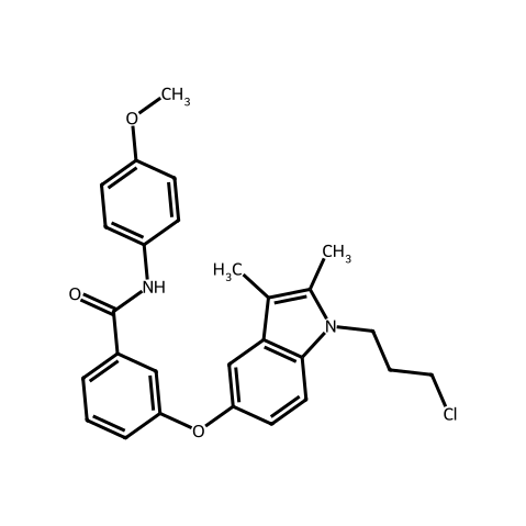 COc1ccc(NC(=O)c2cccc(Oc3ccc4c(c3)c(C)c(C)n4CCCCl)c2)cc1